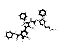 COCCN1C[C@@H](NC(=O)Nc2c(C)c(-c3cc(C(=O)NC4CCCCC4)c(=O)n(C)c3)nn2-c2ccccc2)[C@H](c2ccccc2)C1